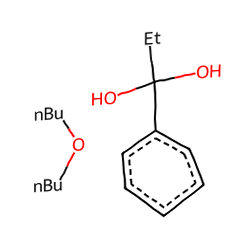 CCC(O)(O)c1ccccc1.CCCCOCCCC